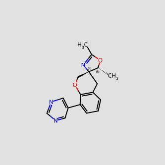 CC1=N[C@]2(COc3c(cccc3-c3cncnc3)C2)[C@@H](C)O1